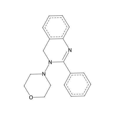 c1ccc(C2=Nc3ccccc3CN2N2CCOCC2)cc1